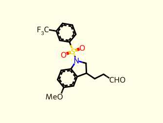 COc1ccc2c(c1)C(CCC=O)CN2S(=O)(=O)c1cccc(C(F)(F)F)c1